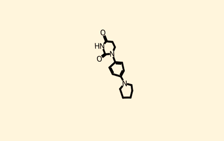 O=C1CCN(c2ccc(N3CCCCC3)cc2)C(=O)N1